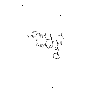 CCN(C(=O)[C@H](CC(C)C)NOCc1ccccc1)C(C(=O)O)C(=O)NCc1ccc(OC)cc1OC